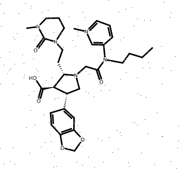 CCCCN(C(=O)CN1C[C@H](c2ccc3c(c2)OCO3)[C@@H](C(=O)O)[C@@H]1CCN1CCCN(C)C1=O)c1ccc[n+](C)c1